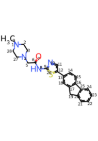 CN1CCN(CC(=O)Nc2ncc(-c3ccc4c(c3)Cc3ccccc3-4)s2)CC1